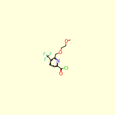 COCCOCc1nc(C(=O)Cl)ccc1C(F)(F)F